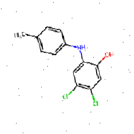 Cc1ccc(Nc2cc(Cl)c(Cl)cc2O)cc1